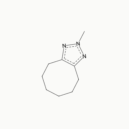 Cn1nc2c(n1)CCCCCC2